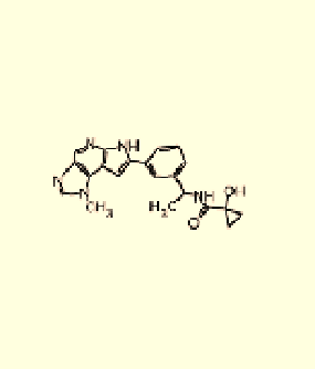 CC(NC(=O)C1(O)CC1)c1cccc(-c2cc3c(ncc4ncn(C)c43)[nH]2)c1